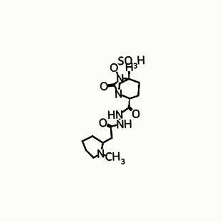 CN1CCCCC1CC(=O)NNC(=O)[C@@H]1CC[C@@H]2CN1C(=O)N2OS(=O)(=O)O